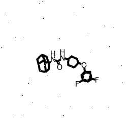 O=C(NC1CCC(Oc2cc(F)cc(F)c2)CC1)NC12CC3CC(CC(C3)C1)C2